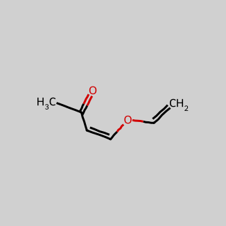 C=CO/C=C\C(C)=O